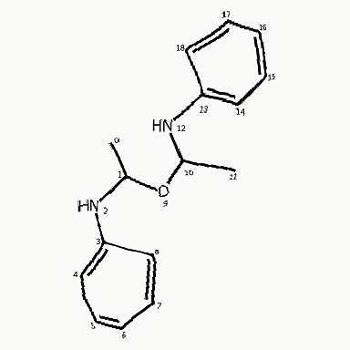 CC(Nc1ccccc1)OC(C)Nc1ccccc1